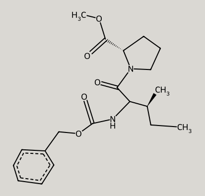 CC[C@H](C)C(NC(=O)OCc1ccccc1)C(=O)N1CCC[C@H]1C(=O)OC